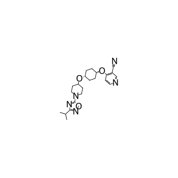 CC(C)c1noc(N2CCC(O[C@H]3CC[C@H](Oc4ccncc4C#N)CC3)CC2)n1